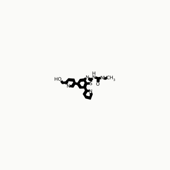 CCNC(=O)Nc1nc2cc(-c3ccc(CO)nc3)cc(-c3ccccn3)c2s1